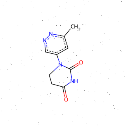 Cc1cc(N2CCC(=O)NC2=O)cnn1